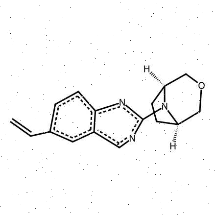 C=Cc1ccc2nc(N3[C@@H]4CC[C@H]3COC4)ncc2c1